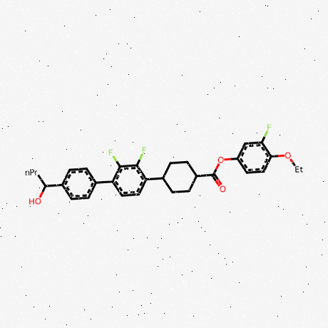 CCCC(O)c1ccc(-c2ccc(C3CCC(C(=O)Oc4ccc(OCC)c(F)c4)CC3)c(F)c2F)cc1